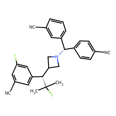 [C-]#[N+]c1ccc([C@@H](c2cccc(C#N)c2)N2CC([C@@H](c3cc(F)cc(C#N)c3)C(C)(C)F)C2)cc1